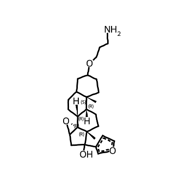 C[C@]12CCC(OCCCN)CC1CC[C@@H]1[C@H]2CC[C@]2(C)C(O)(c3ccoc3)CC3O[C@]312